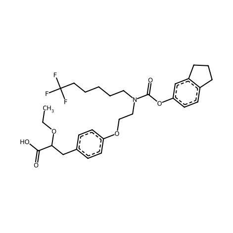 CCOC(Cc1ccc(OCCN(CCCCCC(F)(F)F)C(=O)Oc2ccc3c(c2)CCC3)cc1)C(=O)O